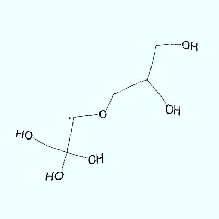 OCC(O)CO[CH]C(O)(O)O